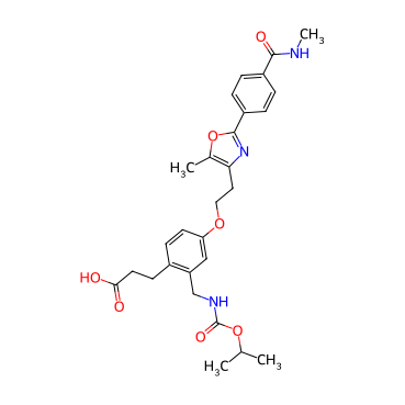 CNC(=O)c1ccc(-c2nc(CCOc3ccc(CCC(=O)O)c(CNC(=O)OC(C)C)c3)c(C)o2)cc1